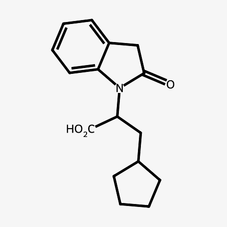 O=C(O)C(CC1CCCC1)N1C(=O)Cc2ccccc21